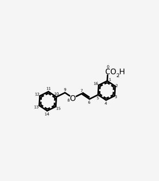 O=C(O)c1cccc(C=COCc2ccccc2)c1